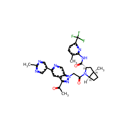 CC(=O)c1nn(CC(=O)N2[C@H](C(=O)Nc3nc(C(F)(F)F)ccc3C)C[C@@]3(C)CC[C@@H]23)c2cnc(-c3cnc(C)nc3)cc12